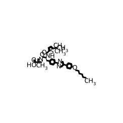 CCCCCCCOc1ccc(-c2cnc(-c3ccc(C[C@H](NC(=O)c4ccc(C(C)(C)C)s4)C(=O)N4CC(C)(C(=O)O)C4)cc3)nc2)cc1